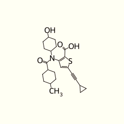 CC1CCC(C(=O)N(c2cc(C#CC3CC3)sc2C(=O)O)C2CCC(O)CC2)CC1